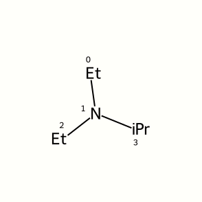 [CH2]CN(C[CH2])C(C)C